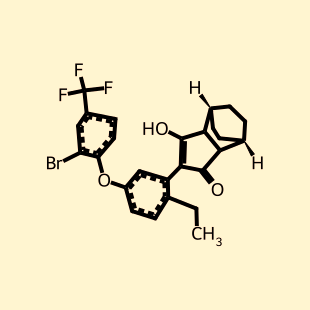 CCc1ccc(Oc2ccc(C(F)(F)F)cc2Br)cc1C1=C(O)C2C(C1=O)[C@H]1CC[C@@H]2CC1